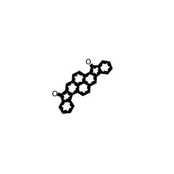 O=c1c2ccccc2c2c1cc1ccc3c4c(=O)c5ccccc5c4cc4ccc2c1c43